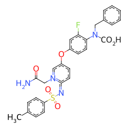 Cc1ccc(S(=O)(=O)/N=c2/ccc(Oc3ccc(N(Cc4ccccc4)C(=O)O)c(F)c3)cn2CC(N)=O)cc1